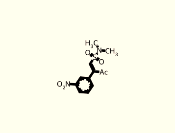 CC(=O)C(=CS(=O)(=O)N(C)C)c1cccc([N+](=O)[O-])c1